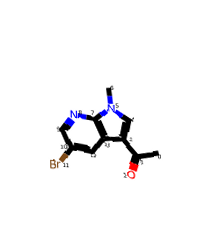 CC(=O)c1cn(C)c2ncc(Br)cc12